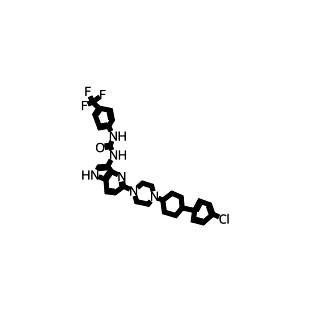 O=C(Nc1ccc(C(F)(F)F)cc1)Nc1c[nH]c2ccc(N3CCN(C4CCC(c5ccc(Cl)cc5)CC4)CC3)nc12